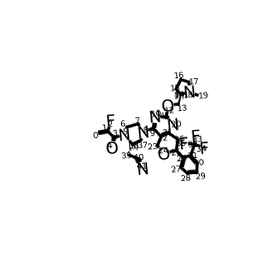 C=C(F)C(=O)N1CCN(c2nc(OC[C@H]3CCCN3C)nc3c2COC(c2ccccc2C(F)(F)F)C3)C[C@@H]1CC#N